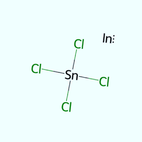 [Cl][Sn]([Cl])([Cl])[Cl].[In]